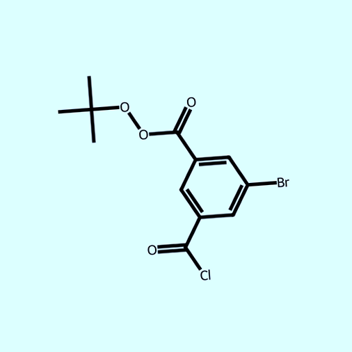 CC(C)(C)OOC(=O)c1cc(Br)cc(C(=O)Cl)c1